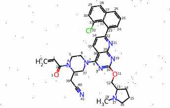 C=CC(=O)N1CCN(c2nc(OCC3CCCN3C)nc3nc(-c4cccc5cccc(Cl)c45)ccc23)CC1CC#N